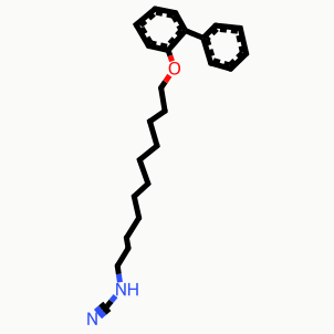 N#CNCCCCCCCCCCCOc1ccccc1-c1ccccc1